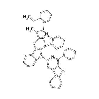 C=Cc1ccccc1-c1c(C)c2cc3c4ccccc4n(-c4nc(-c5ccccc5)c5oc6ccccc6c5n4)c3c3c4ccccc4n1c23